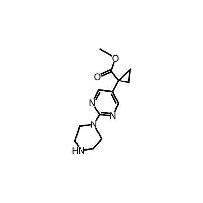 COC(=O)C1(c2cnc(N3CCNCC3)nc2)CC1